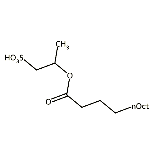 CCCCCCCCCCCC(=O)OC(C)CS(=O)(=O)O